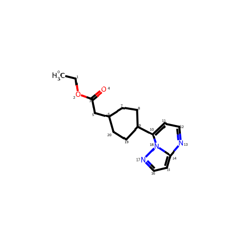 CCOC(=O)CC1CCC(c2ccnc3ccnn23)CC1